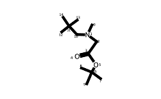 CN(CC(=O)OC(C)(C)C)CC(C)(C)C